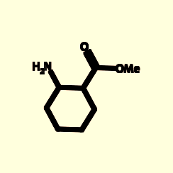 COC(=O)C1CCCCC1N